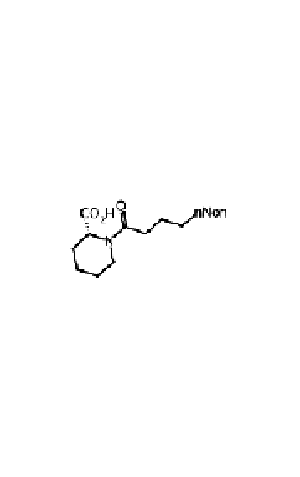 CCCCCCCCCCCCC(=O)N1CCCC[C@@H]1C(=O)O